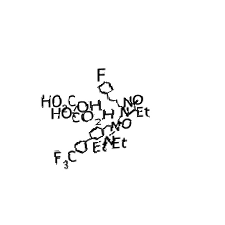 CCc1cn(CC(=O)N(CCN(CC)CC)Cc2ccc(-c3ccc(C(F)(F)F)cc3)cc2)c(CCCc2ccc(F)cc2)nc1=O.O=C(O)C(O)C(O)C(=O)O